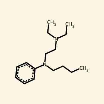 CCCCN(CCN(CC)CC)c1ccccc1